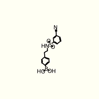 N#Cc1cccc(S(=O)(=O)NCCc2ccc(B(O)O)cc2)c1